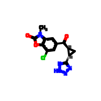 Cn1c(=O)oc2c(Cl)cc(C(=O)[C@H]3C[C@@H]3c3nn[nH]n3)cc21